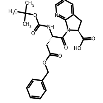 CC(C)(C)OC(=O)N[C@@H](CC(=O)OCc1ccccc1)C(=O)N1c2ncccc2C[C@H]1C(=O)O